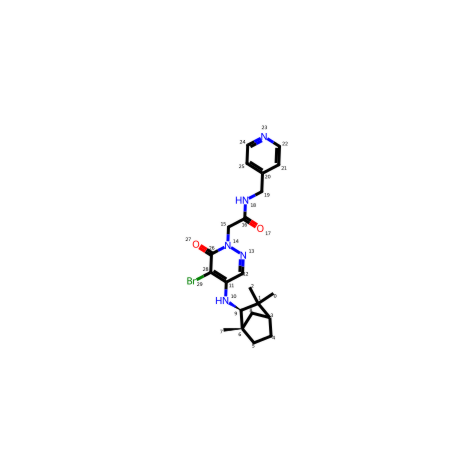 CC1(C)C2CC[C@@](C)(C2)[C@H]1Nc1cnn(CC(=O)NCc2ccncc2)c(=O)c1Br